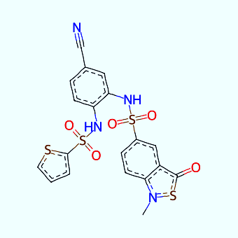 Cn1sc(=O)c2cc(S(=O)(=O)Nc3cc(C#N)ccc3NS(=O)(=O)c3cccs3)ccc21